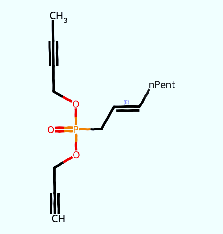 C#CCOP(=O)(C/C=C/CCCCC)OCC#CC